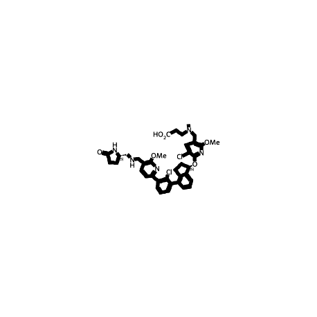 COc1nc(-c2cccc(-c3cccc4c3CC[C@@H]4Oc3nc(OC)c(CN(C)CCC(=O)O)cc3Cl)c2Cl)ccc1CNC[C@@H]1CCC(=O)N1